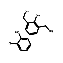 OCc1cccc(CO)c1O.Oc1ccccc1Cl